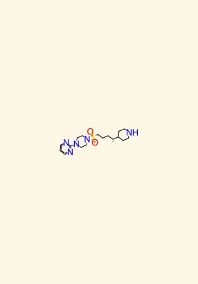 O=S(=O)(CCC[CH]C1CCNCC1)N1CCN(c2ncccn2)CC1